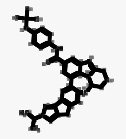 CC(C)n1cc2c(n1)-c1cc(-c3cc(C(=O)Nc4ccc(OC(F)(F)Cl)cc4)cc4nc5n(c34)[C@H](C)COC5)ccc1C2